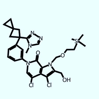 Cn1cnnc1C1(c2cccc(-n3cc(Cl)c4c(Cl)c(CO)n(COCC[Si](C)(C)C)c4c3=O)c2)CC2(CC2)C1